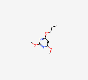 CCCOc1cc(OC)nc(OC)n1